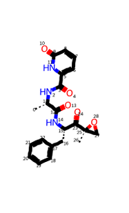 C[C@H](NC(=O)c1cccc(=O)[nH]1)C(=O)N[C@@H](Cc1ccccc1)C(=O)[C@]1(C)CO1